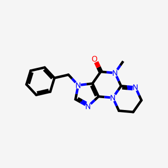 CN1C(=O)c2c(ncn2Cc2ccccc2)N2CCCN=C12